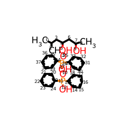 CC(C)CC(O)CC(C)O.O=P(O)(c1ccccc1)c1ccccc1.O=P(O)(c1ccccc1)c1ccccc1